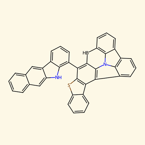 B1c2cccc3c4cccc5c6c7c(sc8ccccc87)c(-c7cccc8c7[nH]c7cc9ccccc9cc78)c1c6n(c23)c45